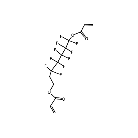 C=CC(=O)OCCC(F)(F)C(F)(F)C(F)(F)C(F)(F)C(F)(F)OC(=O)C=C